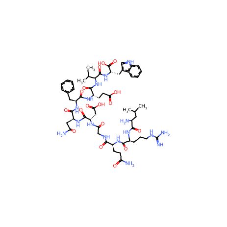 CC(C)C[C@H](N)C(=O)N[C@@H](CCCNC(=N)N)C(=O)N[C@@H](CCC(N)=O)C(=O)NCC(=O)N[C@@H](CC(=O)O)C(=O)N[C@@H](CC(N)=O)C(=O)N[C@@H](Cc1ccccc1)C(=O)N[C@@H](CCC(=O)O)C(=O)N[C@H](C(=O)N[C@@H](Cc1c[nH]c2ccccc12)C(=O)O)C(C)C